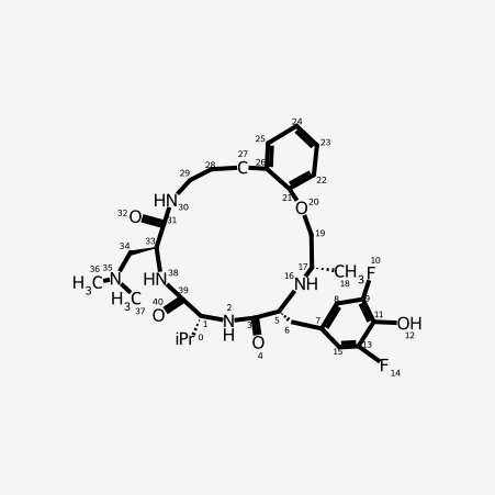 CC(C)[C@H]1NC(=O)[C@@H](Cc2cc(F)c(O)c(F)c2)N[C@@H](C)COc2ccccc2CCCNC(=O)[C@H](CN(C)C)NC1=O